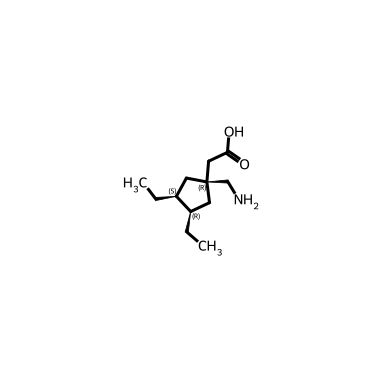 CC[C@@H]1C[C@@](CN)(CC(=O)O)C[C@@H]1CC